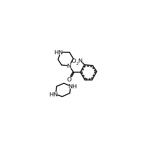 C1CNCCN1.O=C(c1ccccc1[N+](=O)[O-])N1CCNCC1